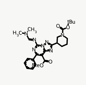 COC(=O)c1c(-c2ccccc2)nc(/N=C/N(C)C)n2nc(C3CCCN(C(=O)OC(C)(C)C)C3)nc12